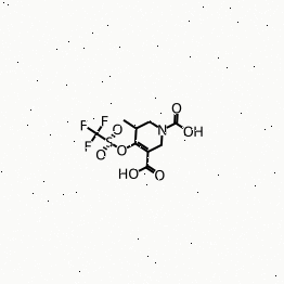 CC1CN(C(=O)O)CC(C(=O)O)=C1OS(=O)(=O)C(F)(F)F